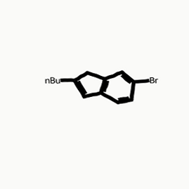 CCCCC1=Cc2ccc(Br)cc2C1